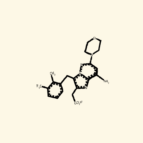 Cc1c(Cc2c(CC(=O)O)nc3c(N)cc(N4CCOCC4)nn23)cccc1C(F)(F)F